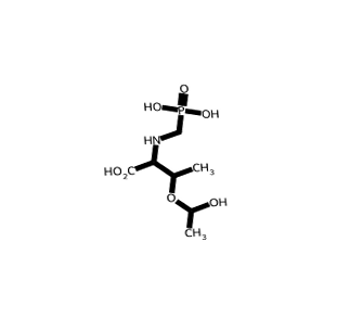 CC(O)OC(C)C(NCP(=O)(O)O)C(=O)O